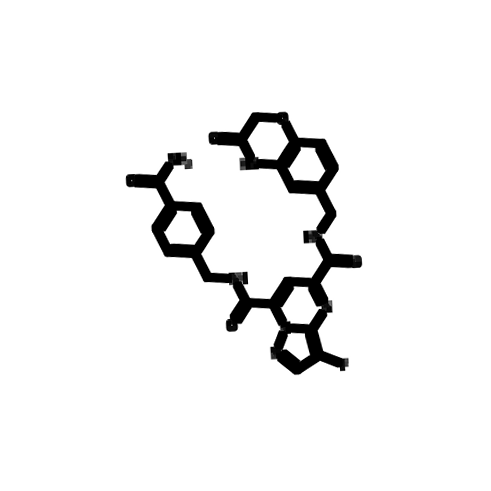 NC(=O)c1ccc(CNC(=O)c2cc(C(=O)NCc3ccc4c(c3)NC(=O)CO4)nc3c(F)cnn23)cc1